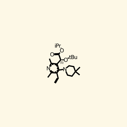 C=Cc1c(C)nc(C)c([C@H](OC(C)(C)C)C(=O)OC(C)C)c1N1CCC(C)(C)CC1